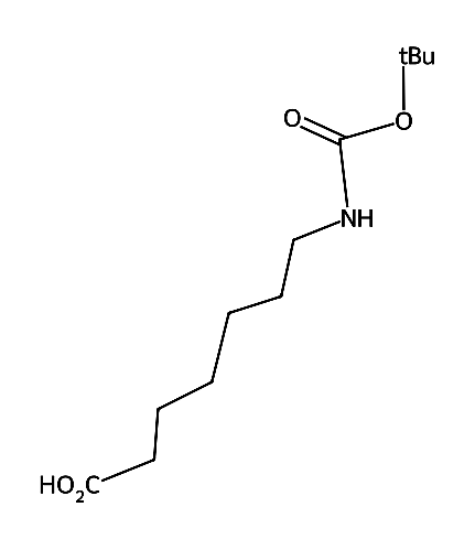 CC(C)(C)OC(=O)NCCCCCCC(=O)O